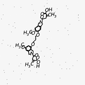 COc1cc2c(c(OCCCOc3cc4c(cc3OC)CN(C(=O)C[C@H](C)C(=O)O)C4)c1)CN(C(=O)C[C@H](C)C(=O)O)C2